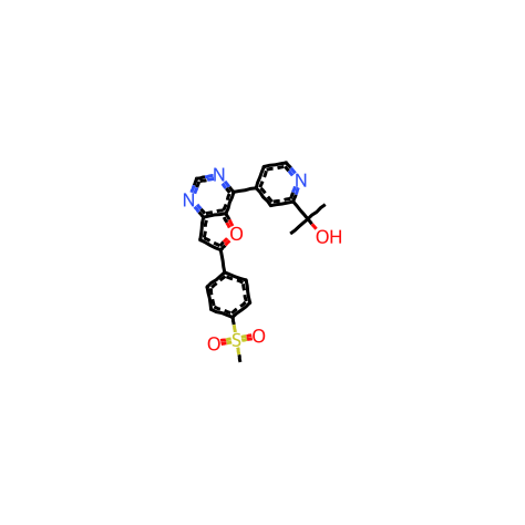 CC(C)(O)c1cc(-c2ncnc3cc(-c4ccc(S(C)(=O)=O)cc4)oc23)ccn1